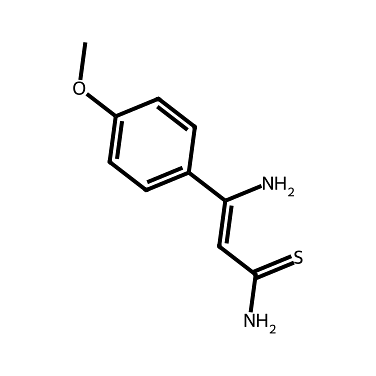 COc1ccc(C(N)=CC(N)=S)cc1